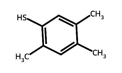 Cc1cc(C)c(S)cc1C